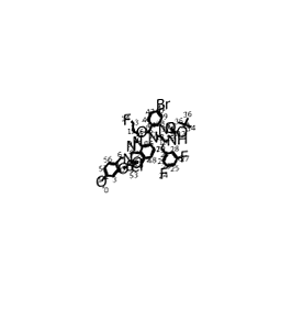 COc1ccc(CN(c2nn(CCCF)c3c(-n4c([C@H](Cc5cc(F)cc(F)c5)NC(=O)OC(C)(C)C)nc5cc(Br)ccc5c4=O)ccc(Cl)c23)S(C)(=O)=O)cc1